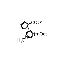 CCCCCCCCn1cc[n+](C)c1.O=C([O-])c1ccco1